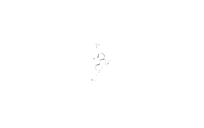 CC(C)(C)OC(=O)N1CC=C(c2c([N+](=O)[O-])ccc(OC3CC3)c2C(F)(F)F)CC1